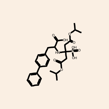 CC(C)OC(=O)CC(CC(=O)OC(C)C)(NC(Cc1ccc(-c2ccccc2)cc1)C(=O)O)P(=O)(O)O